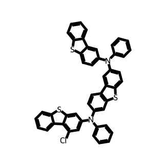 Clc1cc(N(c2ccccc2)c2ccc3c(c2)sc2ccc(N(c4ccccc4)c4ccc5sc6ccccc6c5c4)cc23)cc2sc3ccccc3c12